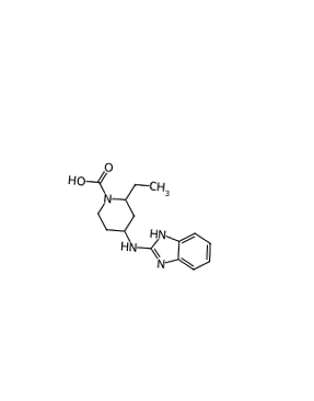 CCC1CC(Nc2nc3ccccc3[nH]2)CCN1C(=O)O